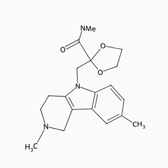 CNC(=O)C1(Cn2c3c(c4cc(C)ccc42)CN(C)CC3)OCCO1